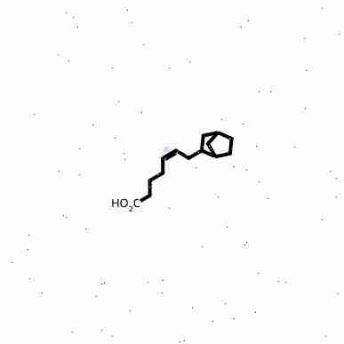 O=C(O)CCC/C=C\CC1CC2CCC1C2